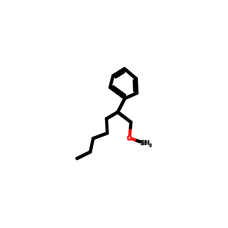 CCCCCC(CO[SiH3])c1ccccc1